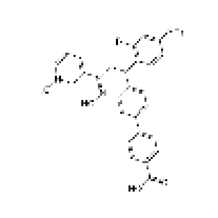 Cc1ccc(C(CC(=NO)C2=CC=CN(C)C2)c2ccc(-c3ccc(C(=O)O)cc3)cc2)c(F)c1